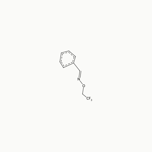 FC(F)(F)CON=Cc1ccccc1